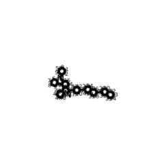 c1ccc(-n2c3ccccc3c3c4c(ccc32)c(-c2ccc(-c3ccc5cc(-c6ccc7ccccc7c6)ccc5c3)cc2)nc2ccccc24)cc1